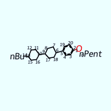 CCCCCOc1ccc(C2CCC(C3CCC(CCCC)CC3)CC2)cc1